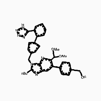 CCCCc1nc2cc(-c3ccc(CO)cc3)c(C(OC)OC)nc2n1Cc1ccc(-c2ccccc2-c2nnn[nH]2)cc1